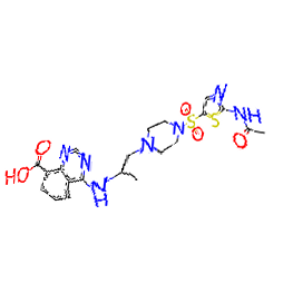 CC(=O)Nc1ncc(S(=O)(=O)N2CCN(CC(C)Nc3ncnc4c(C(=O)O)cccc34)CC2)s1